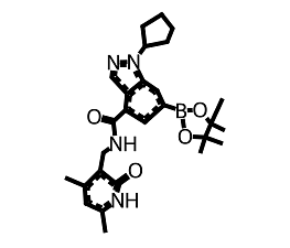 Cc1cc(C)c(CNC(=O)c2cc(B3OC(C)(C)C(C)(C)O3)cc3c2cnn3C2CCCC2)c(=O)[nH]1